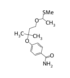 CSC(C)OCCC(C)(C)Oc1ccc(C(N)=O)cc1